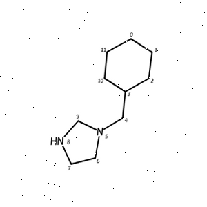 C1CCC(CN2CCNC2)CC1